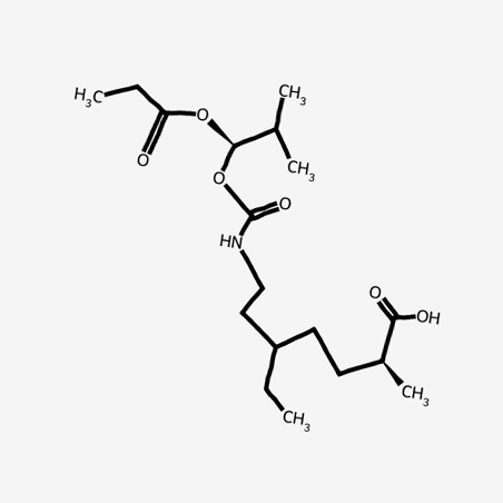 CCC(=O)O[C@H](OC(=O)NCCC(CC)CC[C@H](C)C(=O)O)C(C)C